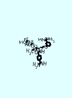 CCOC(=O)[C@H](CCCOc1cccc(C(=N)N)c1)NC(=O)c1ccc(C(=N)N)cc1.O=C(O)C(F)(F)F.O=C(O)C(F)(F)F